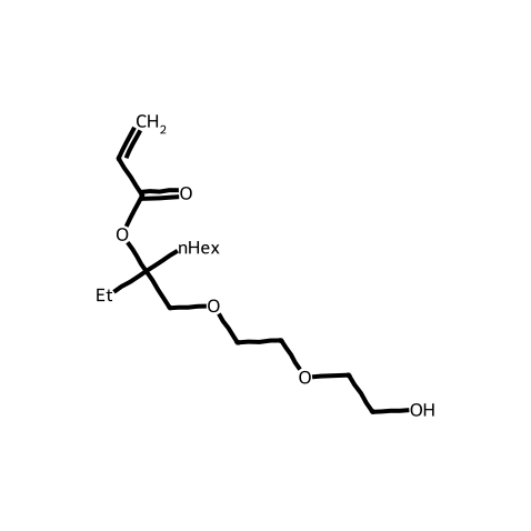 C=CC(=O)OC(CC)(CCCCCC)COCCOCCO